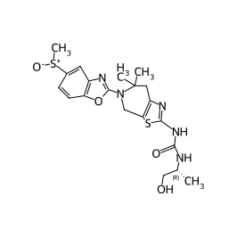 C[C@H](CO)NC(=O)Nc1nc2c(s1)CN(c1nc3cc([S+](C)[O-])ccc3o1)C(C)(C)C2